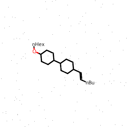 CCCCC=CC1CCC(C2CCC(OCCCCCC)CC2)CC1